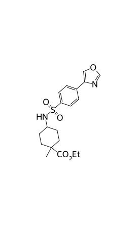 CCOC(=O)C1(C)CCC(NS(=O)(=O)c2ccc(-c3cocn3)cc2)CC1